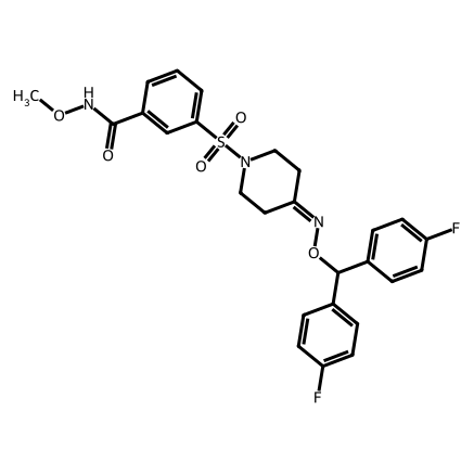 CONC(=O)c1cccc(S(=O)(=O)N2CCC(=NOC(c3ccc(F)cc3)c3ccc(F)cc3)CC2)c1